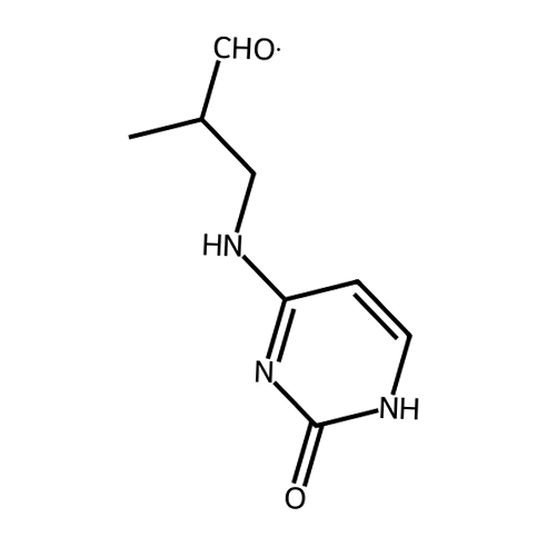 CC([C]=O)CNc1cc[nH]c(=O)n1